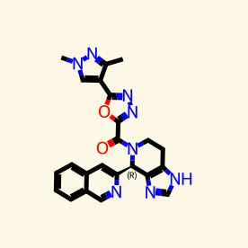 Cc1nn(C)cc1-c1nnc(C(=O)N2CCc3[nH]cnc3[C@H]2c2cc3ccccc3cn2)o1